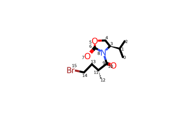 CC(C)[C@@H]1COC(=O)N1C(=O)[C@H](C)CCBr